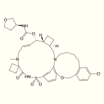 CN1C/C=C/[C@H](OC(=O)N[C@H]2CCOC2)[C@@H]2CC[C@H]2CN2CCCCc3cc(Cl)ccc3COc3ccc(cc32)S(=O)(=O)NC(=O)C12CCC2